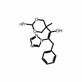 CCCC1OCC(C)(C(O)=C(Cc2ccccc2)n2cncn2)CO1